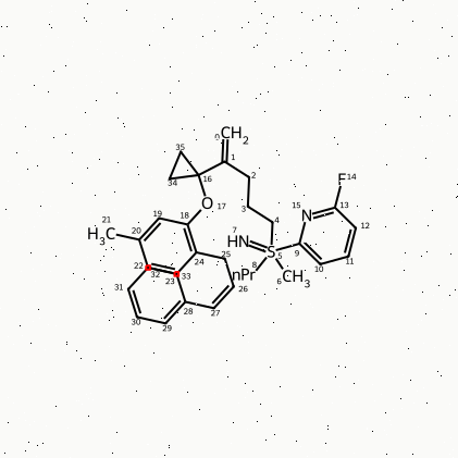 C=C(CCCS(C)(=N)(CCC)c1cccc(F)n1)C1(Oc2cc(C)ccc2C/C=C\C2=CC=CCC2)CC1